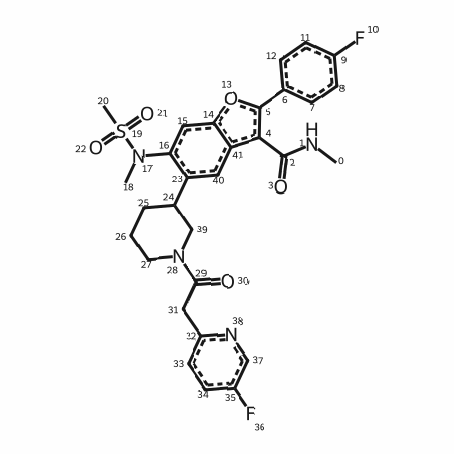 CNC(=O)c1c(-c2ccc(F)cc2)oc2cc(N(C)S(C)(=O)=O)c(C3CCCN(C(=O)Cc4ccc(F)cn4)C3)cc12